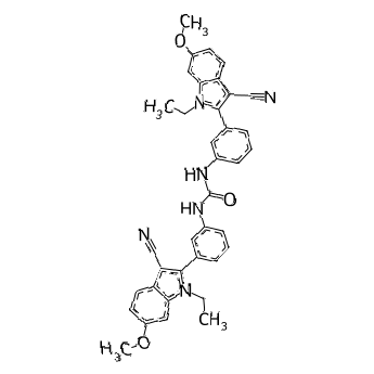 CCn1c(-c2cccc(NC(=O)Nc3cccc(-c4c(C#N)c5ccc(OC)cc5n4CC)c3)c2)c(C#N)c2ccc(OC)cc21